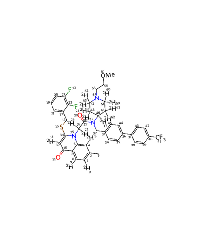 [2H]c1c(C)c([2H])c2c(c1[2H])c(=O)c([2H])c(SCc1cccc(F)c1F)n2C([2H])([2H])C(=O)N(Cc1ccc(-c2ccc(C(F)(F)F)cc2)cc1)C1([2H])C([2H])([2H])C([2H])([2H])N(CCOC)C([2H])([2H])C1([2H])[2H]